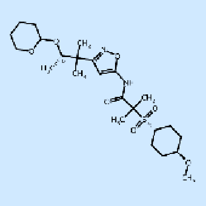 CO[C@H]1CC[C@H](S(=O)(=O)C(C)(C)C(=O)Nc2cc(C(C)(C)[C@H](C)OC3CCCCO3)no2)CC1